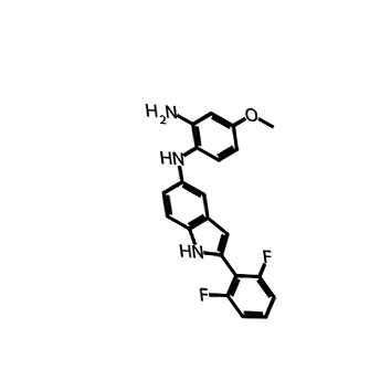 COc1ccc(Nc2ccc3[nH]c(-c4c(F)cccc4F)cc3c2)c(N)c1